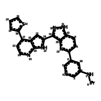 CC(C)Nc1cncc(-c2ccc3[nH]nc(-c4cc5c(-c6cccs6)ccnc5[nH]4)c3n2)c1